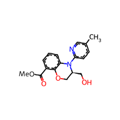 COC(=O)c1cccc2c1OC[C@H](CO)N2c1ccc(C)cn1